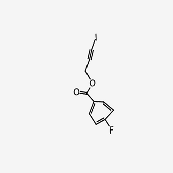 O=C(OCC#CI)c1ccc(F)cc1